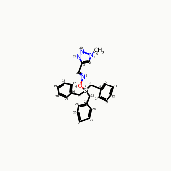 Cn1cc(/C=N/O[Si](Cc2ccccc2)(Cc2ccccc2)Cc2ccccc2)nn1